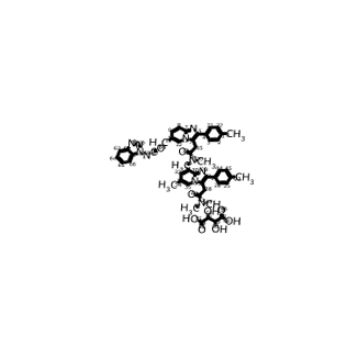 Cc1ccc(-c2nc3ccc(C)cn3c2CC(=O)N(C)C)cc1.Cc1ccc(-c2nc3ccc(C)cn3c2CC(=O)N(C)C)cc1.O=C(O)C(O)C(O)C(=O)O.O=C=Nn1nnc2ccccc21